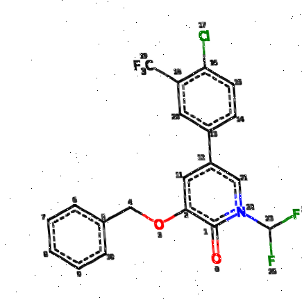 O=c1c(OCc2ccccc2)cc(-c2ccc(Cl)c(C(F)(F)F)c2)cn1C(F)F